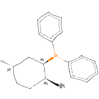 CC(C)[C@H]1CC[C@H](C)C[C@H]1P(c1ccccc1)c1ccccc1